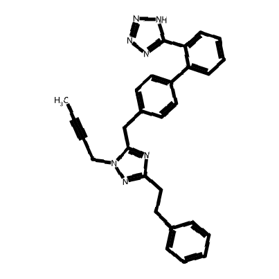 CC#CCn1nc(CCc2ccccc2)nc1Cc1ccc(-c2ccccc2-c2nnn[nH]2)cc1